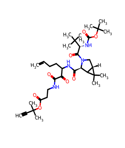 C#CC(C)(C)OC(=O)CCNC(=O)C(=O)C(CCC=C)NC(=O)[C@@H]1C2[C@H](CN1C(=O)[C@@H](NC(=O)OC(C)(C)C)C(C)(C)C)C2(C)C